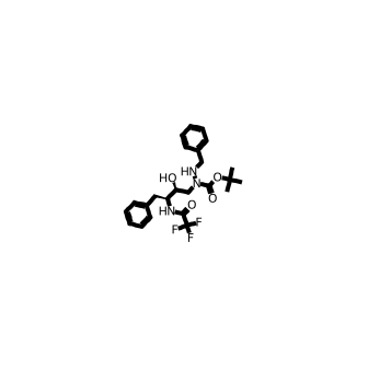 CC(C)(C)OC(=O)N(C[C@H](O)[C@H](Cc1ccccc1)NC(=O)C(F)(F)F)NCc1ccccc1